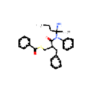 NC(CCC(=O)O)(C(=O)O)N(C(=O)C(CSC(=O)c1ccccc1)Cc1ccccc1)c1ccccc1